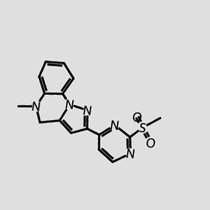 CN1Cc2cc(-c3ccnc(S(C)(=O)=O)n3)nn2-c2ccccc21